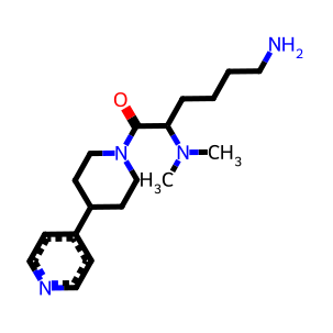 CN(C)C(CCCCN)C(=O)N1CCC(c2ccncc2)CC1